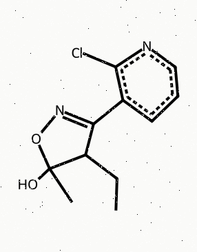 CCC1C(c2cccnc2Cl)=NOC1(C)O